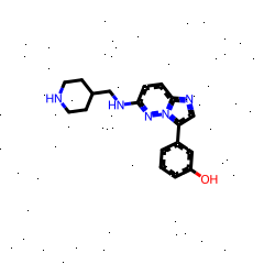 Oc1cccc(-c2cnc3ccc(NCC4CCNCC4)nn23)c1